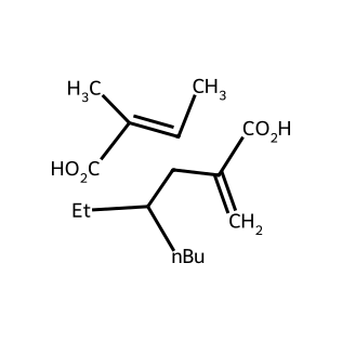 C/C=C(\C)C(=O)O.C=C(CC(CC)CCCC)C(=O)O